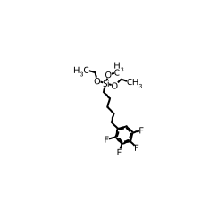 CCO[Si](CCCCCc1cc(F)c(F)c(F)c1F)(OC)OCC